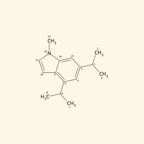 CC(C)c1cc(C(C)C)c2ccn(C)c2c1